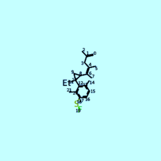 C=C(C)C/C(C)=C(/C)C1C[C@@]1(CC)c1c(C)ccc(SF)c1C